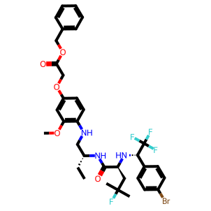 CC[C@H](CNc1ccc(OCC(=O)OCc2ccccc2)cc1OC)NC(=O)[C@H](CC(C)(C)F)N[C@@H](c1ccc(Br)cc1)C(F)(F)F